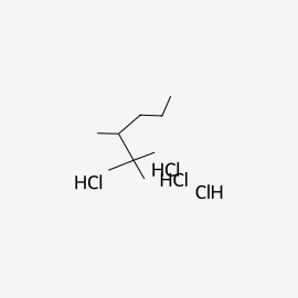 CCCC(C)C(C)(C)C.Cl.Cl.Cl.Cl